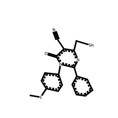 CSc1ccc(-n2c(-c3ccccc3)nc(CS)c(C#N)c2=O)cc1